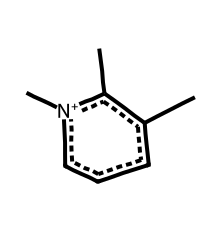 Cc1ccc[n+](C)c1C